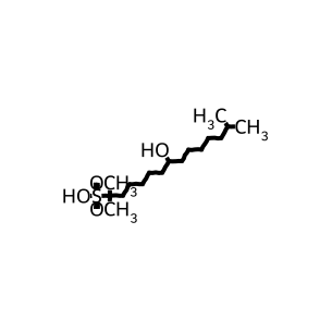 CC(C)CCCCCC(O)CCCCCC(C)(C)S(=O)(=O)O